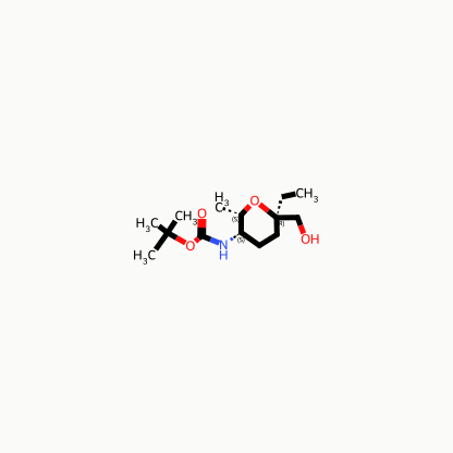 CC[C@]1(CO)CC[C@H](NC(=O)OC(C)(C)C)[C@H](C)O1